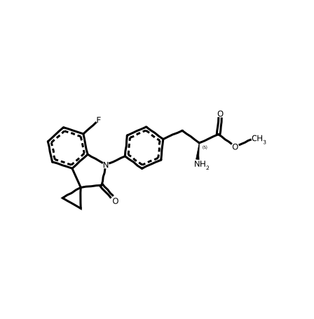 COC(=O)[C@@H](N)Cc1ccc(N2C(=O)C3(CC3)c3cccc(F)c32)cc1